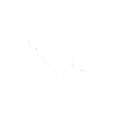 C=CC(=O)CCCc1ccc(C(=O)OC)s1